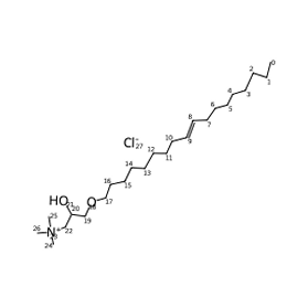 CCCCCCCCC=CCCCCCCCCOCC(O)C[N+](C)(C)C.[Cl-]